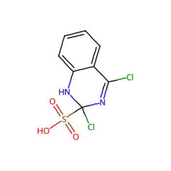 O=S(=O)(O)C1(Cl)N=C(Cl)c2ccccc2N1